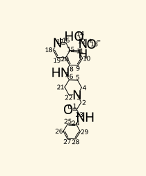 O=C(CN1CCC(Nc2ccc([NH+]([O-])O)c3cnccc23)CC1)Nc1ccccc1